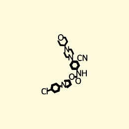 N#Cc1cc(NC(=O)Oc2ccn(-c3ccc(Cl)cc3)c2)ccc1N1CCN(C2CCOCC2)CC1